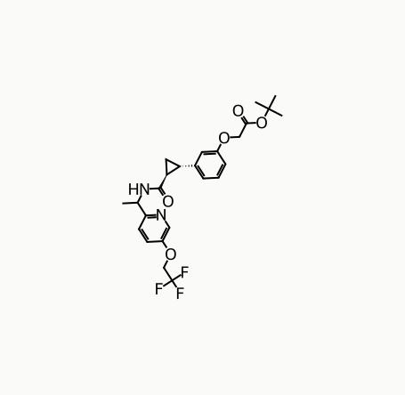 CC(NC(=O)[C@H]1C[C@@H]1c1cccc(OCC(=O)OC(C)(C)C)c1)c1ccc(OCC(F)(F)F)cn1